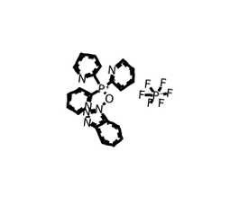 F[P-](F)(F)(F)(F)F.c1ccc([P+](On2nnc3ccccc32)(c2ccccn2)c2ccccn2)nc1